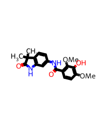 COc1ccc(C(=O)Nc2ccc3c(c2)NC(=O)C3(C)C)c(OC)c1O